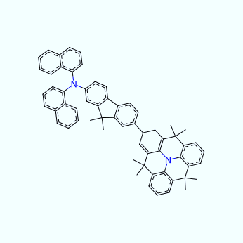 CC1(C)C2=CC(c3ccc4c(c3)C(C)(C)c3cc(N(c5cccc6ccccc56)c5cccc6ccccc56)ccc3-4)CC3=C2N2c4c1cccc4C(C)(C)c1cccc(c12)C3(C)C